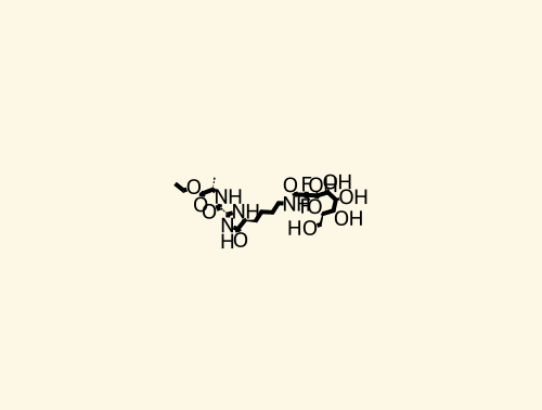 CCOC(=O)[C@H](C)NC(=O)[C@H]1NC(=O)[C@H](CCCCNC(=O)C(F)(F)[C@]2(O)O[C@H](CO)[C@H](O)[C@H](O)[C@H]2O)N1